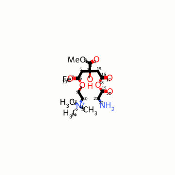 COC(=O)C(O)(CC(=O)OCC[N+](C)(C)C)CC(=O)OC(=O)CN.[Fe]